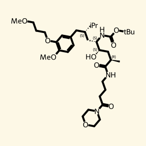 COCCCOc1cc(C[C@@H](C[C@H](NC(=O)OC(C)(C)C)[C@@H](O)C[C@@H](C)C(=O)NCCCC(=O)N2CCOCC2)C(C)C)ccc1OC